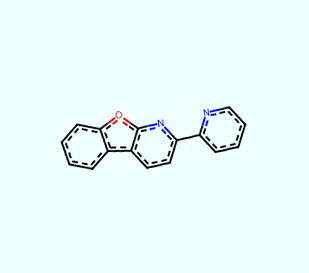 c1ccc(-c2ccc3c(n2)oc2ccccc23)nc1